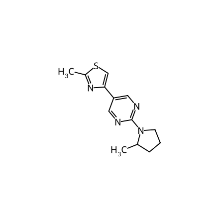 Cc1nc(-c2cnc(N3CCCC3C)nc2)cs1